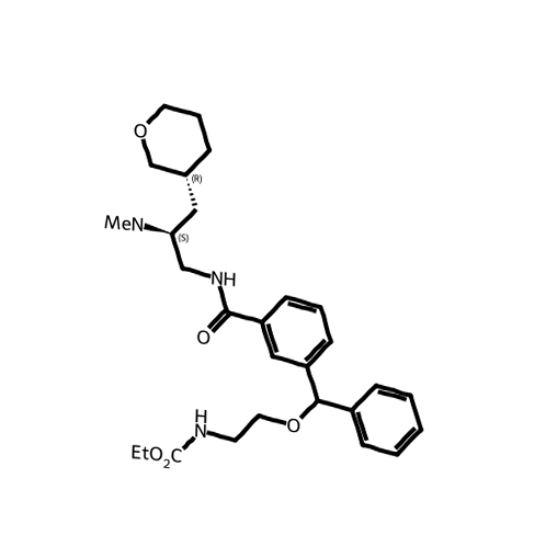 CCOC(=O)NCCOC(c1ccccc1)c1cccc(C(=O)NC[C@H](C[C@H]2CCCOC2)NC)c1